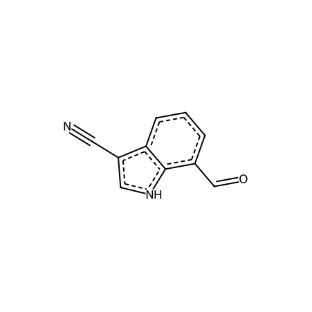 N#Cc1c[nH]c2c(C=O)cccc12